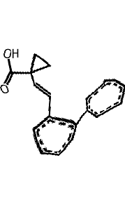 O=C(O)C1(C=Cc2ccccc2-c2ccccc2)CC1